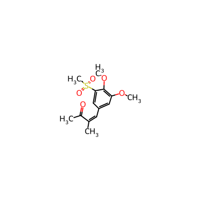 COc1cc(C=C(C)C(C)=O)cc(S(C)(=O)=O)c1OC